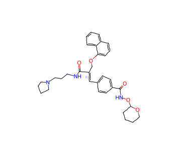 O=C(NCCCN1CCCC1)/C(=C/c1ccc(C(=O)NOC2CCCCO2)cc1)COc1cccc2ccccc12